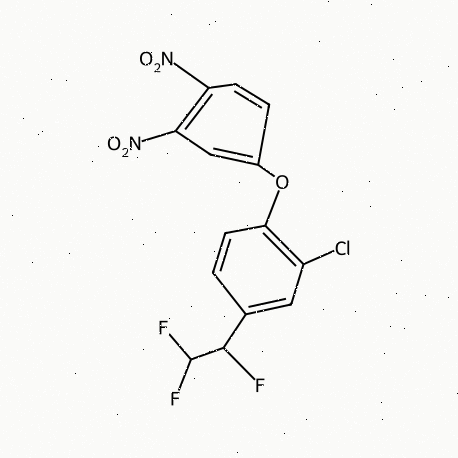 O=[N+]([O-])c1ccc(Oc2ccc(C(F)C(F)F)cc2Cl)cc1[N+](=O)[O-]